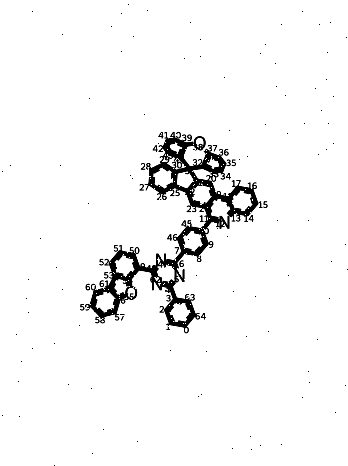 c1ccc(-c2nc(-c3ccc(-c4nc5ccccc5c5cc6c(cc45)-c4ccccc4C64c5ccccc5Oc5ccccc54)cc3)nc(-c3cccc4c3oc3ccccc34)n2)cc1